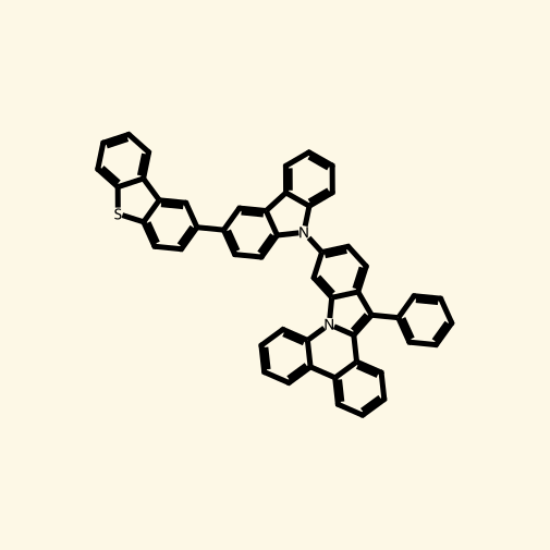 c1ccc(-c2c3ccc(-n4c5ccccc5c5cc(-c6ccc7sc8ccccc8c7c6)ccc54)cc3n3c4ccccc4c4ccccc4c23)cc1